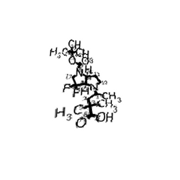 CC(CC(C)(C)C(=O)O)N1CC[C@H]2[C@@H]1C(F)(F)CN2C(=O)OC(C)(C)C